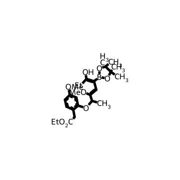 CCOC(=O)Cc1ccc(OC)cc1OC(C)/C(=C/C(B1OC(C)(C)C(C)(C)O1)=C(/O)CC)OC